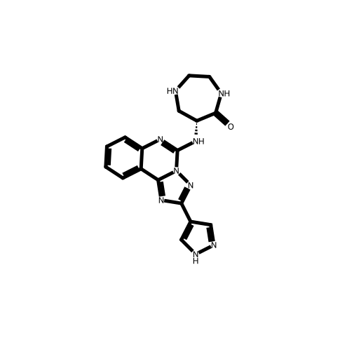 O=C1NCCNC[C@H]1Nc1nc2ccccc2c2nc(-c3cn[nH]c3)nn12